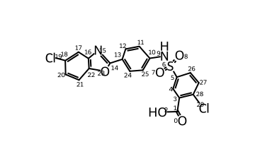 O=C(O)c1cc(S(=O)(=O)Nc2ccc(-c3nc4cc(Cl)ccc4o3)cc2)ccc1Cl